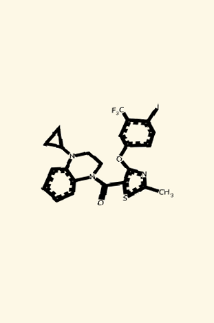 Cc1nc(Oc2ccc(I)c(C(F)(F)F)c2)c(C(=O)N2CCN(C3CC3)c3ccccc32)s1